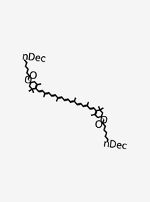 CCCCCCCCCCCCCCCC(=O)O[C@@H]1CC(C)=C(/C=C/C(C)=C/C=C/C(C)=C/C=C/C=C(C)/C=C/C=C(C)/C=C/C2=C(C)C[C@@H](OC(=O)CCCCCCCCCCCCCCC)CC2(C)C)C(C)(C)C1